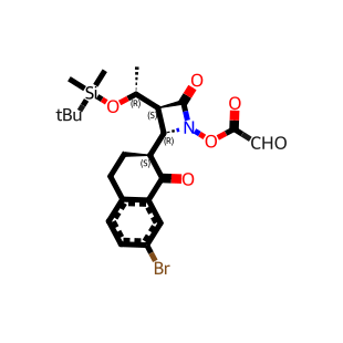 C[C@@H](O[Si](C)(C)C(C)(C)C)[C@H]1C(=O)N(OC(=O)C=O)[C@@H]1[C@@H]1CCc2ccc(Br)cc2C1=O